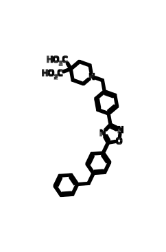 O=C(O)C1(C(=O)O)CCN(Cc2ccc(-c3noc(-c4ccc(Cc5ccccc5)cc4)n3)cc2)CC1